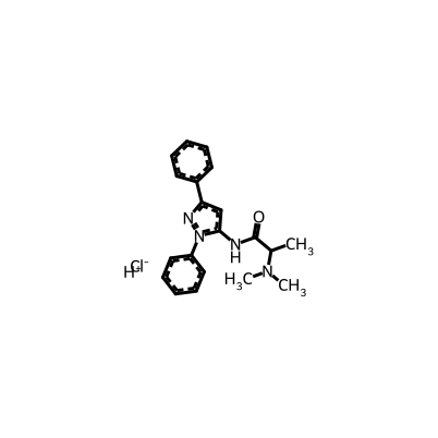 CC(C(=O)Nc1cc(-c2ccccc2)nn1-c1ccccc1)N(C)C.[Cl-].[H+]